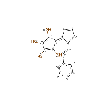 SC1=C(S)C(=C2C=CC=C2C=Cc2ccccc2)C(S)=C1S